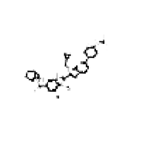 COc1cc(C(=O)N2CC3CCC2C3N)cc2nc(-c3cc4ccc(-c5ccc(NC(N)=O)cc5)nc4n3CC3CC3)n(C)c12